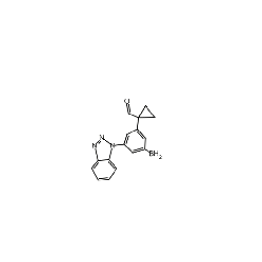 Bc1cc(-n2nnc3ccccc32)cc(C2(C=O)CC2)c1